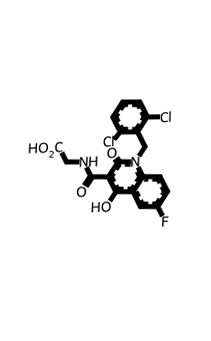 O=C(O)CNC(=O)c1c(O)c2cc(F)ccc2n(Cc2c(Cl)cccc2Cl)c1=O